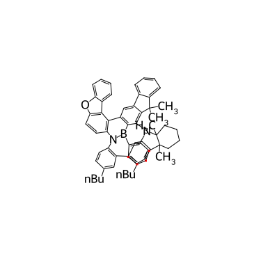 CCCCc1ccc(N2B3c4cc(CCCC)cc5c4N(c4c3c(cc3c4C(C)(C)c4ccccc4-3)-c3c2ccc2oc4ccccc4c32)C2(C)CCCCC52C)c(-c2ccccc2)c1